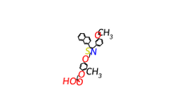 COc1cccc(-c2nc(COc3ccc(OCC(=O)O)c(C)c3)sc2-c2ccc3ccccc3c2)c1